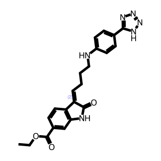 CCOC(=O)c1ccc2c(c1)NC(=O)/C2=C\CCCNc1ccc(-c2nnn[nH]2)cc1